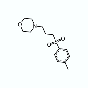 Cc1ccc(S(=O)(=O)CCCN2CCOCC2)cc1